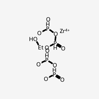 CCO.O=[PH]([O-])O[PH](=O)[O-].O=[PH]([O-])O[PH](=O)[O-].[Zr+4]